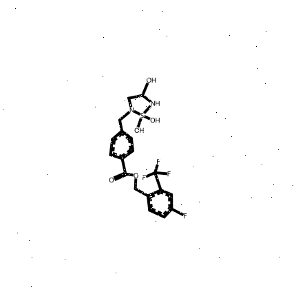 O=C(OCc1ccc(F)cc1C(F)(F)F)c1ccc(CN2CC(O)NS2(O)O)cc1